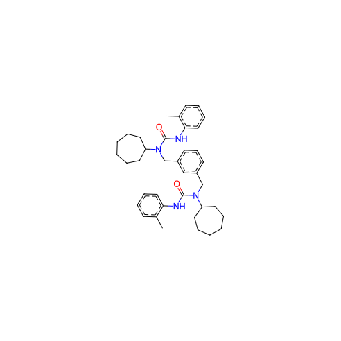 Cc1ccccc1NC(=O)N(Cc1cccc(CN(C(=O)Nc2ccccc2C)C2CCCCCC2)c1)C1CCCCCC1